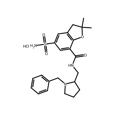 CC1(C)Cc2cc(S(N)(=O)=O)cc(C(=O)NCC3CCCN3Cc3ccccc3)c2O1.Cl